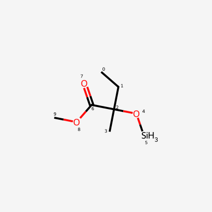 CCC(C)(O[SiH3])C(=O)OC